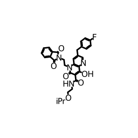 CC(C)OCCNC(=O)c1c(O)c2ncc(Cc3ccc(F)cc3)cc2n(CCN2C(=O)c3ccccc3C2=O)c1=O